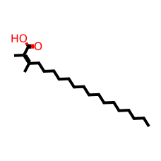 CCCCCCCCCCCCCCCC/C(C)=C(/C)C(=O)O